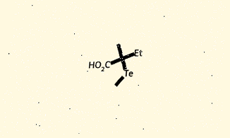 CCC(C)([Te]C)C(=O)O